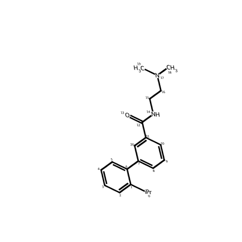 CC(C)c1ccccc1-c1cccc(C(=O)NCCN(C)C)c1